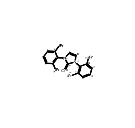 CC(C)c1cccc(C(C)C)c1-n1ccn(-c2c(C(C)C)cccc2C(C)C)[c]1=[Cr]